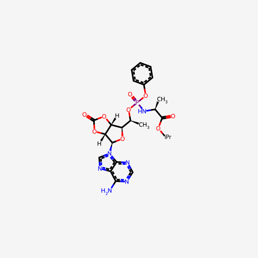 CC(C)OC(=O)[C@H](C)NP(=O)(Oc1ccccc1)O[C@@H](C)[C@H]1O[C@@H](n2cnc3c(N)ncnc32)[C@@H]2OC(=O)O[C@@H]21